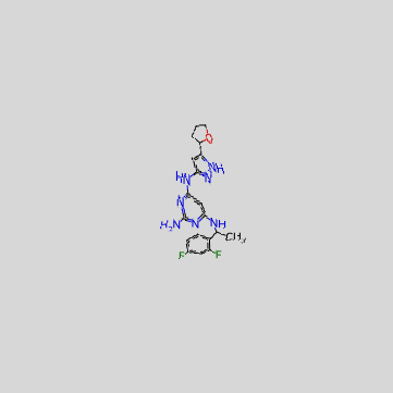 CC(Nc1cc(Nc2cc(C3CCCO3)[nH]n2)nc(N)n1)c1ccc(F)cc1F